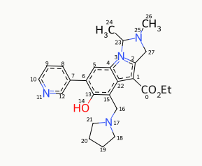 CCOC(=O)c1c2n(c3cc(-c4cccnc4)c(O)c(CN4CCCC4)c13)C(C)N(C)C2